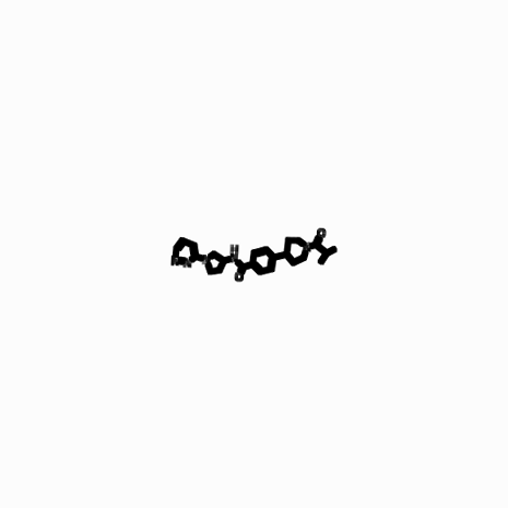 CC(C)C(=O)N1CCC(c2ccc(C(=O)NC3CCN(c4cccnn4)C3)cc2)CC1